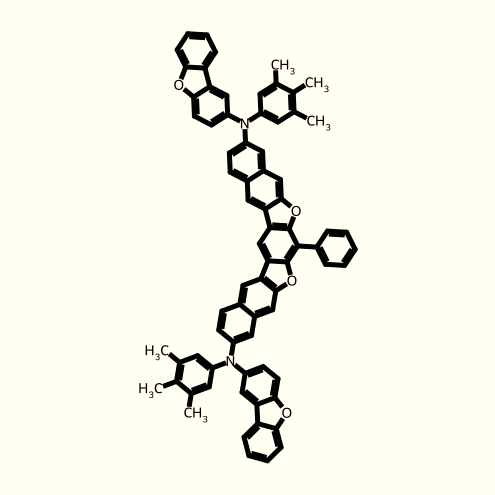 Cc1cc(N(c2ccc3cc4c(cc3c2)oc2c(-c3ccccc3)c3oc5cc6cc(N(c7cc(C)c(C)c(C)c7)c7ccc8oc9ccccc9c8c7)ccc6cc5c3cc24)c2ccc3oc4ccccc4c3c2)cc(C)c1C